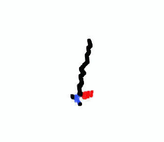 CCCCCCCCCCCC(O)N(C)C